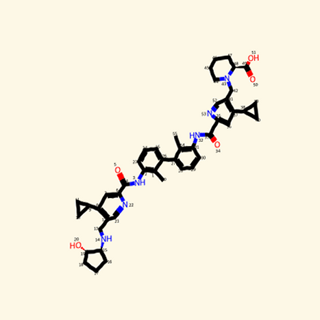 Cc1c(NC(=O)c2cc(C3CC3)c(CN[C@H]3CCC[C@@H]3O)cn2)cccc1-c1cccc(NC(=O)c2cc(C3CC3)c(CN3CCCC[C@H]3C(=O)O)cn2)c1C